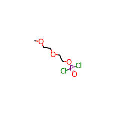 COCCOCCOP(=O)(Cl)Cl